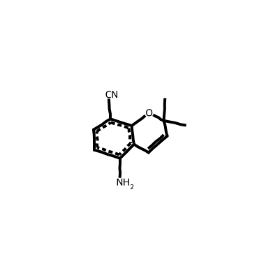 CC1(C)C=Cc2c(N)ccc(C#N)c2O1